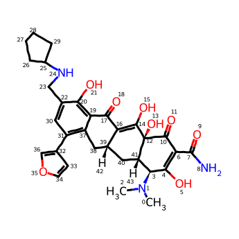 CN(C)[C@@H]1C(O)=C(C(N)=O)C(=O)[C@@]2(O)C(O)=C3C(=O)c4c(O)c(CNC5CCCC5)cc(-c5ccoc5)c4C[C@H]3C[C@@H]12